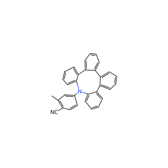 Cc1cc(-n2c3ccccc3c3ccccc3c3ccccc3c3ccccc32)ccc1C#N